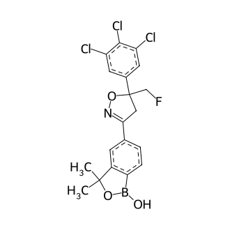 CC1(C)OB(O)c2ccc(C3=NOC(CF)(c4cc(Cl)c(Cl)c(Cl)c4)C3)cc21